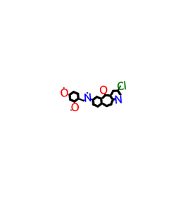 COc1ccc(CN(C)c2ccc3ccc4ncc(Cl)cc4c(=O)c3c2)c(OC)c1